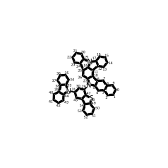 c1ccc2cc3c(cc2c1)c1c2c4ccccc4n4c5ccccc5c(cc1n3-c1cc(-n3c5ccccc5c5ccccc53)cc3c1sc1ccccc13)c24